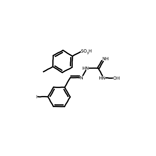 Cc1ccc(S(=O)(=O)O)cc1.N=C(NO)NN=Cc1cccc(I)c1